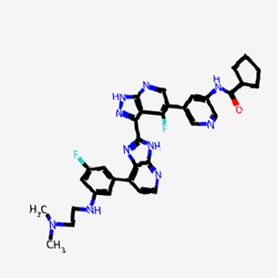 CN(C)CCNc1cc(F)cc(-c2ccnc3[nH]c(-c4n[nH]c5ncc(-c6cncc(NC(=O)C7CCCC7)c6)c(F)c45)nc23)c1